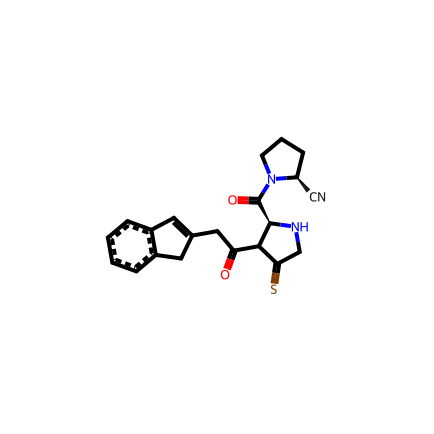 N#C[C@@H]1CCCN1C(=O)[C@H]1NCC(=S)C1C(=O)CC1=Cc2ccccc2C1